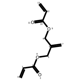 C=CC(=O)OCC(=C)COC(=O)C=C